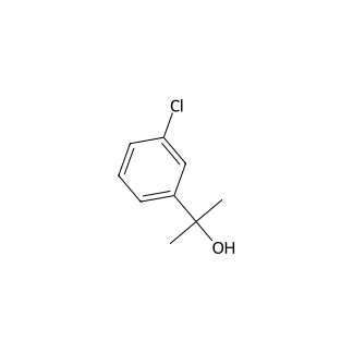 CC(C)(O)c1cccc(Cl)c1